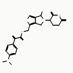 CN(C)c1ccc(C(=O)C(=O)NCc2scc3c2CN(C2CCC(=O)NC2=O)C3O)cc1